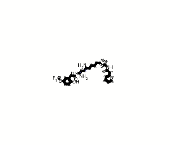 N/C(=C\C=C(/N)NC(=O)Cc1cc(OC(F)(F)F)ccc1O)CCCCc1nnc(NC(=O)Cc2ccccn2)s1